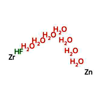 F.O.O.O.O.O.O.O.[Zn].[Zr]